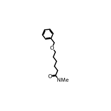 CNC(=O)CCCCCOCc1ccccc1